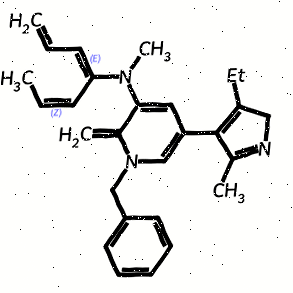 C=C/C=C(\C=C/C)N(C)C1=CC(C2=C(CC)CN=C2C)=CN(Cc2ccccc2)C1=C